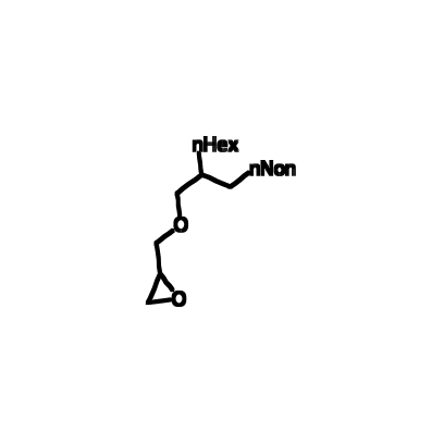 CCCCCCCCCCC(CCCCCC)COCC1CO1